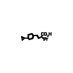 CC(C)C(C=Cc1ccc(C2CC2)cc1)C(=O)O